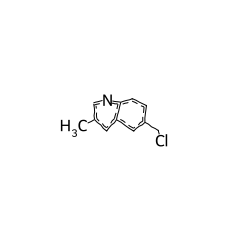 Cc1cnc2ccc(CCl)cc2c1